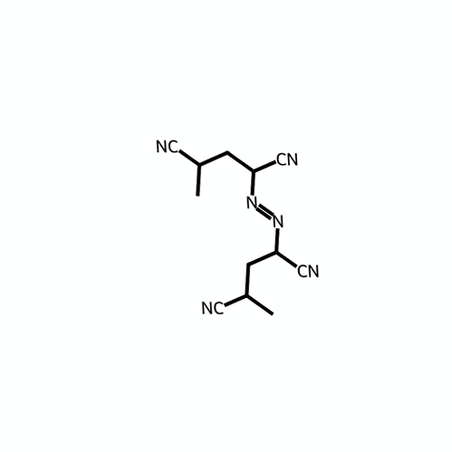 CC(C#N)CC(C#N)N=NC(C#N)CC(C)C#N